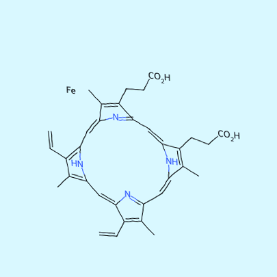 C=CC1=C(C)c2cc3[nH]c(cc4nc(cc5[nH]c(cc1n2)c(C)c5C=C)C(C)=C4CCC(=O)O)c(CCC(=O)O)c3C.[Fe]